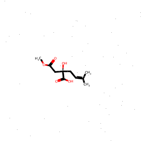 COC(=O)C[C@](O)(CC=C(C)C)C(=O)O